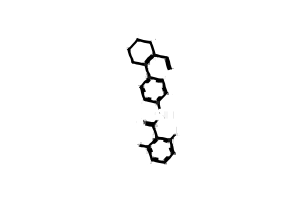 C=CC1=C(c2ccc(NC(=O)c3c(F)cccc3F)cc2)CCCC1